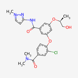 C[C@@H](CO)Oc1cc(Oc2ccc(C(=O)N(C)C)cc2Cl)cc(C(=O)Nc2ccn(C)n2)c1